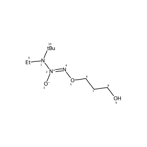 CCN(/[N+]([O-])=N/OCCCO)C(C)(C)C